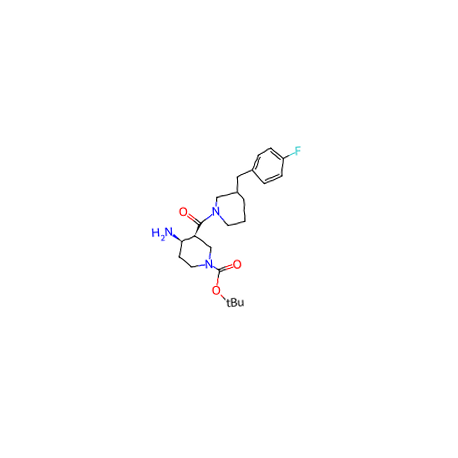 CC(C)(C)OC(=O)N1CC[C@@H](N)[C@@H](C(=O)N2CCCC(Cc3ccc(F)cc3)C2)C1